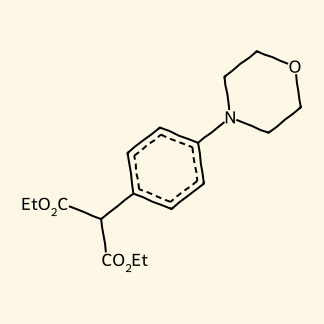 CCOC(=O)C(C(=O)OCC)c1ccc(N2CCOCC2)cc1